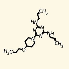 C=CCNc1nc(NCC=C)nc(N2CCC(OCCC)CC2)n1